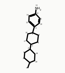 CC1CCC(C2CCC(c3ccc(N)cc3)CC2)CC1